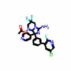 CC(=O)ON1CC(F)(F)CN2C(N)=NC(c3ccncc3)(c3cccc(-c4cc(Cl)cnc4F)c3)C12